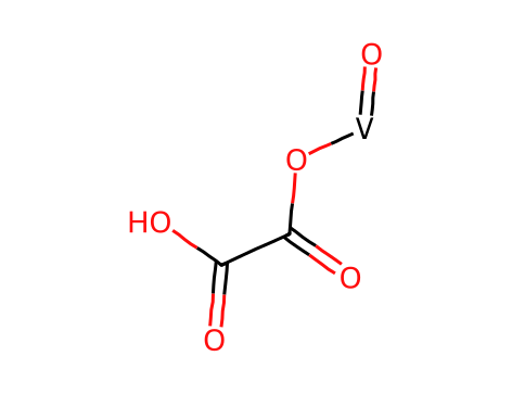 [O]=[V][O]C(=O)C(=O)O